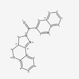 O=C(c1cnc2ccccc2c1)N1CC2COc3ccccc3C2=N1